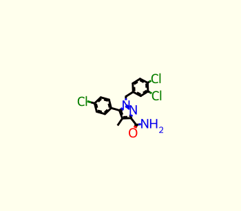 Cc1c(C(N)=O)nn(Cc2ccc(Cl)c(Cl)c2)c1-c1ccc(Cl)cc1